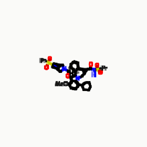 COc1ccc(C2CCCCC2)c2c1cc1n2CC2=C(C(=O)NS(=O)(=O)C(C)C)C2=C2C=CC[C@@H](C(=O)N3CC45CCC4(C3)CN(S(=O)(=O)C(C)C)C5)[C@@H]21